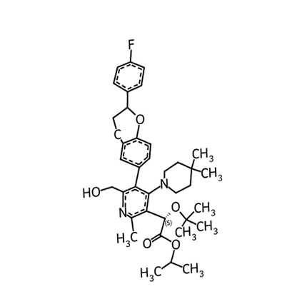 Cc1nc(CO)c(-c2ccc3c(c2)CCC(c2ccc(F)cc2)O3)c(N2CCC(C)(C)CC2)c1[C@H](OC(C)(C)C)C(=O)OC(C)C